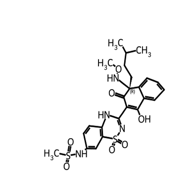 CON[C@@]1(CCC(C)C)C(=O)C(C2=NS(=O)(=O)c3cc(NS(C)(=O)=O)ccc3N2)=C(O)c2ccccc21